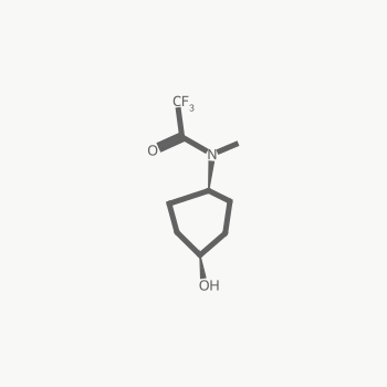 CN(C(=O)C(F)(F)F)[C@H]1CC[C@@H](O)CC1